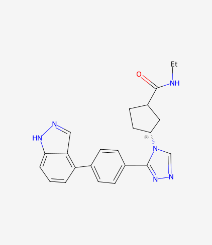 CCNC(=O)C1CC[C@@H](n2cnnc2-c2ccc(-c3cccc4[nH]ncc34)cc2)C1